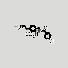 NCCc1ccc(CNC(=O)c2ccc(Cl)cc2)c(C(=O)O)c1